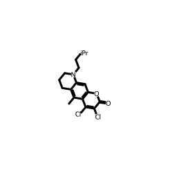 Cc1c2c(cc3oc(=O)c(Cl)c(Cl)c13)N(CCC(C)C)CCC2